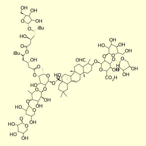 CC[C@H](C)[C@H](C[C@H](O)CC(=O)O[C@H]1C(O)C(O[C@@H]2OC(C)[C@H](O[C@H]3OCC(O)[C@H](O[C@H]4OCC(O)[C@H](O)C4O)C3O)C(O)[C@@H]2O)[C@H](OC(=O)[C@]23CCC(C)(C)CC2C2=CCC4[C@@]5(C)CC[C@H](O[C@@H]6OC(C(=O)O)[C@H](O)C(O[C@@H]7OC[C@@H](O)C(O)C7O)C6O[C@@H]6OC(CO)[C@H](O)C(O)C6O)[C@@](C)(C=O)C5CC[C@@]4(C)[C@]2(C)C[C@H]3O)O[C@H]1C)OC(=O)C[C@@H](O)C[C@H](O[C@@H]1O[C@@H](CO)C(O)C1O)[C@@H](C)CC